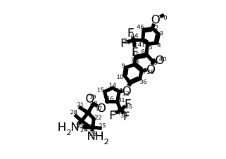 COc1ccc(-c2cc3ccc(OC4CCC(OC(=O)C(C)(CC(C)(C)N)C(C)(C)N)C4C(F)(F)F)cc3oc2=O)c(C(F)(F)F)c1